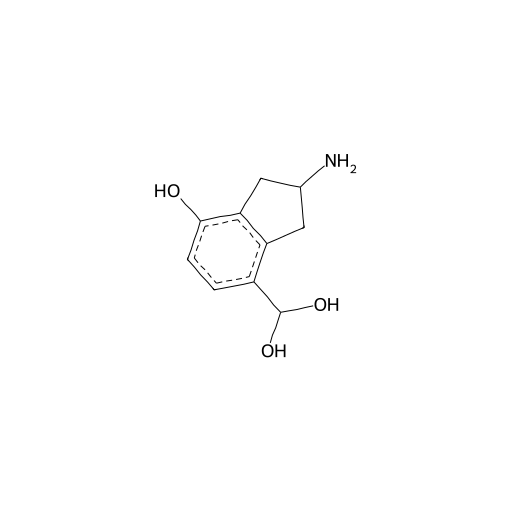 NC1Cc2c(O)ccc(C(O)O)c2C1